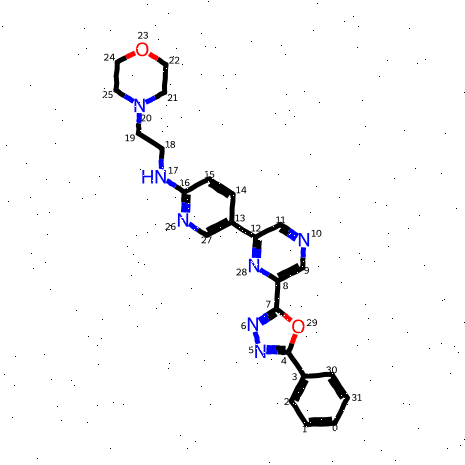 c1ccc(-c2nnc(-c3cncc(-c4ccc(NCCN5CCOCC5)nc4)n3)o2)cc1